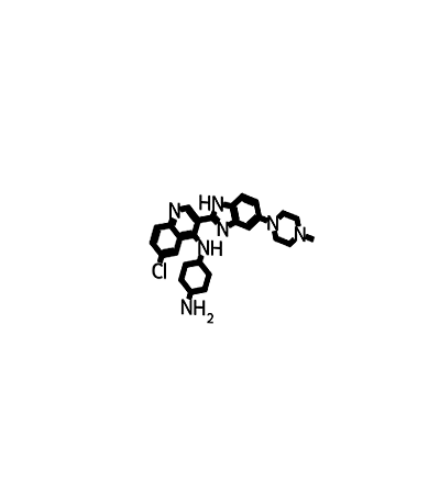 CN1CCN(c2ccc3[nH]c(-c4cnc5ccc(Cl)cc5c4NC4CCC(N)CC4)nc3c2)CC1